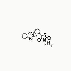 CN1C(=O)SC(c2cccc3c2ccn3Cc2ccccc2Br)C1=O